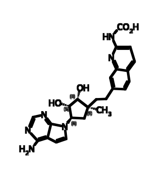 C[C@]1(CCc2ccc3ccc(NC(=O)O)nc3c2)C[C@@H](n2ccc3c(N)ncnc32)[C@H](O)[C@@H]1O